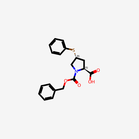 O=C(O)[C@@H]1C[C@@H](Sc2ccccc2)CN1C(=O)OCc1ccccc1